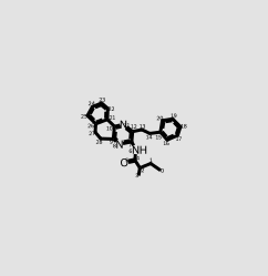 CCC(C)C(=O)Nc1nc2c(nc1CCc1ccccc1)-c1ccccc1CC2